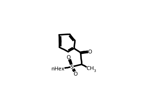 CCCCCCS(=O)(=O)C(C)C(=O)c1ccccc1